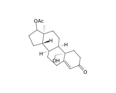 CC(=O)OC1CC[C@H]2[C@@H]3CCC4=CC(=O)CC[C@]4(CO)[C@@H]3CC[C@]12C